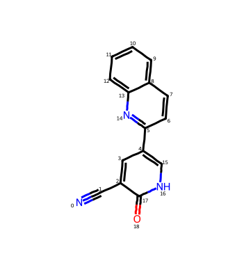 N#Cc1cc(-c2ccc3ccccc3n2)c[nH]c1=O